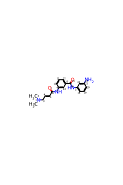 CN(C)CC=CC(=O)Nc1cccc(C(=O)Nc2cccc(N)c2)c1